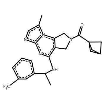 Cc1cnc2nc(NC(C)c3cccc(C(F)(F)F)c3)c3c(n12)CN(C(=O)C12CC(C1)C2)C3